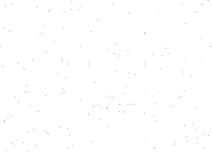 c1cc(CCCN2CCC2)c2nc[nH]c2c1